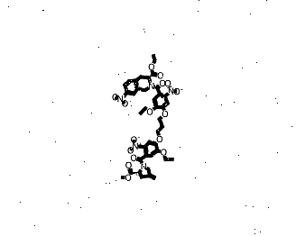 C=C1C[C@@H](C(=O)OC)N(C(=O)c2cc(OCC)c(OCCCOc3cc([N+](=O)[O-])c(C(=O)N4Cc5cc([N+](=O)[O-])ccc5C[C@H]4C(=O)OCC)cc3OCC)cc2[N+](=O)[O-])C1